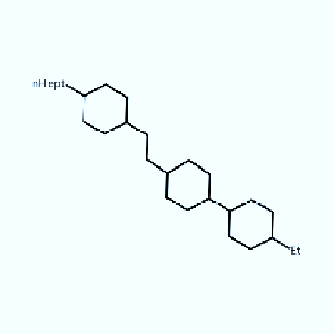 CCCCCCCC1CCC(CCC2CCC(C3CCC(CC)CC3)CC2)CC1